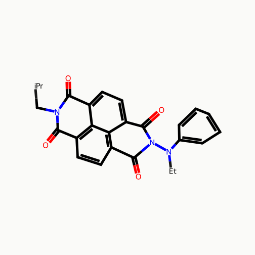 CCN(c1ccccc1)N1C(=O)c2ccc3c4c(ccc(c24)C1=O)C(=O)N(CC(C)C)C3=O